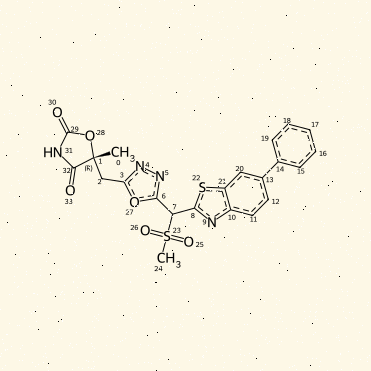 C[C@]1(Cc2nnc(C(c3nc4ccc(-c5ccccc5)cc4s3)S(C)(=O)=O)o2)OC(=O)NC1=O